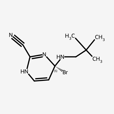 CC(C)(C)CN[C@@]1(Br)C=CNC(C#N)=N1